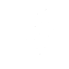 COC(=O)c1ccc2c(c1)C(OS(=O)(=O)C(F)(F)F)=CC1(CCCC1)O2